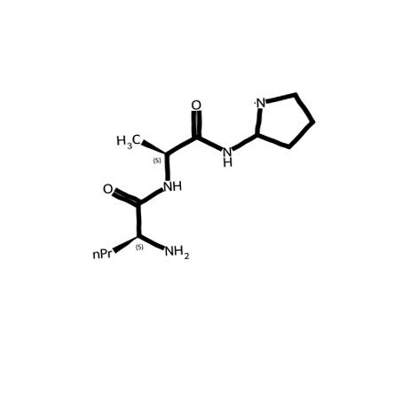 CCC[C@H](N)C(=O)N[C@@H](C)C(=O)NC1CCC[N]1